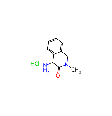 CN1Cc2ccccc2C(N)C1=O.Cl